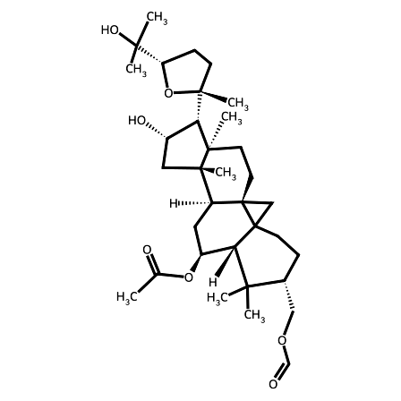 CC(=O)O[C@H]1C[C@@H]2[C@]3(CC[C@]4(C)[C@@H]([C@@]5(C)CC[C@@H](C(C)(C)O)O5)[C@@H](O)C[C@@]24C)CC32CC[C@H](COC=O)C(C)(C)[C@H]12